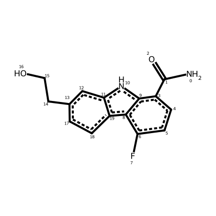 NC(=O)c1ccc(F)c2c1[nH]c1cc(CCO)ccc12